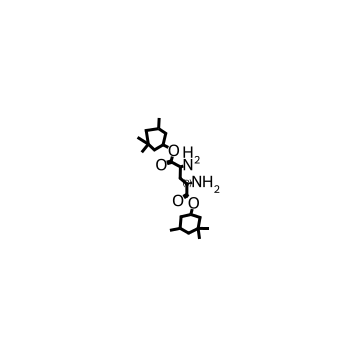 CC1CC(OC(=O)C(N)C[C@@H](N)C(=O)OC2CC(C)CC(C)(C)C2)CC(C)(C)C1